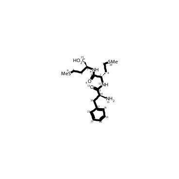 CSCC[C@H](NC(=O)[C@H](CCSC)NC(=O)[C@@H](N)Cc1ccccc1)C(=O)O